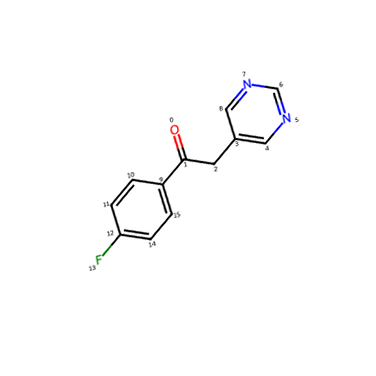 O=C(Cc1cncnc1)c1ccc(F)cc1